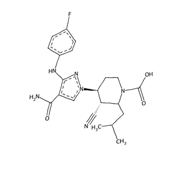 CC(C)CC1[C@H](C#N)[C@@H](n2cc(C(N)=O)c(Nc3ccc(F)cc3)n2)CCN1C(=O)O